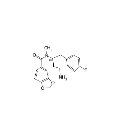 CN(C(=O)c1ccc2c(c1)OCO2)[C@H](CCN)Cc1ccc(F)cc1